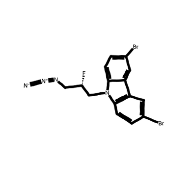 [N-]=[N+]=NC[C@H](F)Cn1c2ccc(Br)cc2c2cc(Br)ccc21